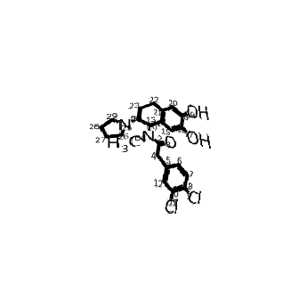 CN(C(=O)Cc1ccc(Cl)c(Cl)c1)[C@@H]1c2cc(O)c(O)cc2CC[C@H]1N1CCCC1